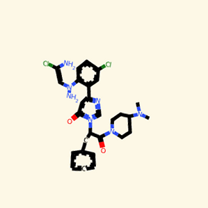 CN(C)C1CCN(C(=O)C(Cc2ccccc2)n2cnc(-c3cc(Cl)ccc3N(N)/C=C(\N)Cl)cc2=O)CC1